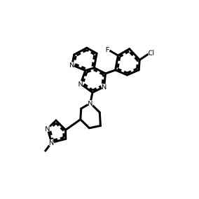 Cn1cc(C2CCCN(c3nc(-c4ccc(Cl)cc4F)c4cccnc4n3)C2)cn1